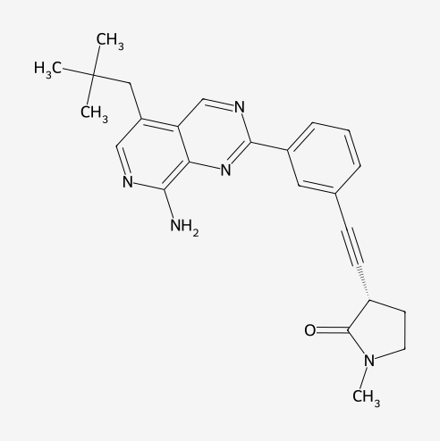 CN1CC[C@@H](C#Cc2cccc(-c3ncc4c(CC(C)(C)C)cnc(N)c4n3)c2)C1=O